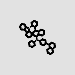 c1ccc(N(c2ccc(-c3cccc4ccccc34)cc2)c2ccc(-c3ccccc3-n3c4ccccc4c4ccccc43)c3ccccc23)cc1